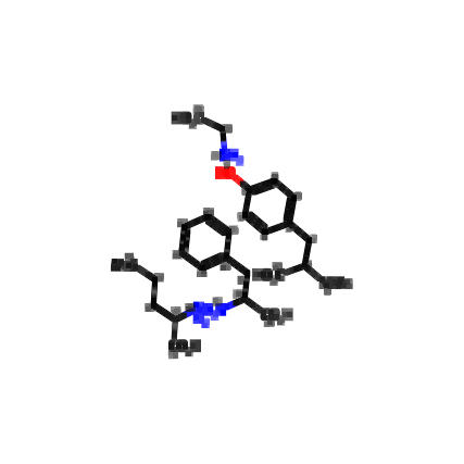 CC(=O)NC(Cc1ccc(O)cc1)C(=O)O.CSCCC(N)C(=O)O.NC(Cc1ccccc1)C(=O)O.NCC(=O)O